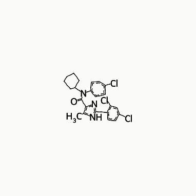 Cc1[nH]c(-c2ccc(Cl)cc2Cl)nc1C(=O)N(c1ccc(Cl)cc1)C1CCCCC1